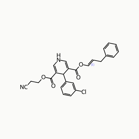 N#CCCOC(=O)C1=CNC=C(C(=O)O/C=C/Cc2ccccc2)C1c1cccc(Cl)c1